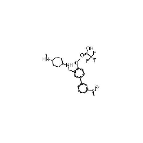 CNC1CCC(NCc2cc(-c3cccc([S+](C)[O-])c3)ccc2OC)CC1.O=C(O)C(F)(F)F